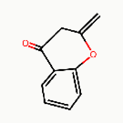 C=C1CC(=O)c2ccccc2O1